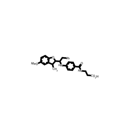 COc1ccc2c(c1)C(C)C(C(CC(C)C)Nc1ccc(C(=O)NCCC(=O)O)cc1)O2